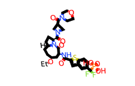 CCO[C@@H]1CC[C@H]2CC[C@@H](C(=O)N3CC(C(=O)N4CCOCC4)C3)N2C(=O)[C@@H](NC(=O)c2cc3cc(C(F)(F)P(=O)(O)O)ccc3s2)C1